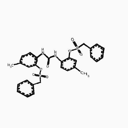 Cc1ccc(NC(=O)Nc2ccc(C)cc2OS(=O)(=O)Cc2ccccc2)c(OS(=O)(=O)Cc2ccccc2)c1